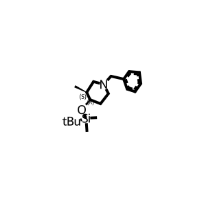 C[C@H]1CN(Cc2ccccc2)CC[C@H]1O[Si](C)(C)C(C)(C)C